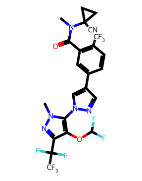 CN(C(=O)c1cc(-c2cnn(-c3c(OC(F)F)c(C(F)(F)C(F)(F)F)nn3C)c2)ccc1C(F)(F)F)C1(C#N)CC1